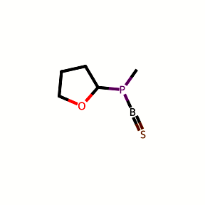 CP(B=S)C1CCCO1